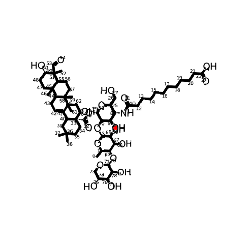 CC1O[C@@H](OC2C(O)[C@@H](NC(=O)CCCCCCCCCCC(=O)O)C(CO)O[C@H]2OC(=O)[C@]23CCC(C)(C)CC2C2=CCC4C5(C)CC[C@H](O)C(C)(C=O)C5CCC4(C)C2(C)CC3O)C(O)C(O)[C@H]1O[C@@H]1OC[C@@H](O)C(O)C1O